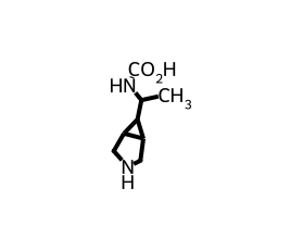 CC(NC(=O)O)C1C2CNCC21